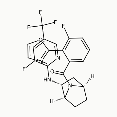 O=C(c1cccc(F)c1-c1ncco1)N1[C@@H]2CC[C@H]1[C@H](Nc1ncc(C(F)(F)F)cc1F)C2